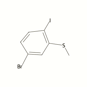 CSc1cc(Br)ccc1I